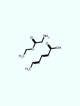 C/C=C/C=C/C(=O)O.CCOC(=O)CN